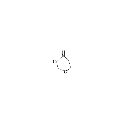 C1CO[CH2][Cr][NH]1